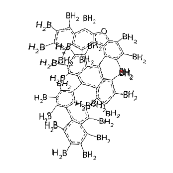 Bc1c(B)c(-c2c3c(B)c(B)c(B)c(B)c3c(-c3c(B)c(B)c(B)c4c3c(B)c(B)c3c(B)c(B)c(B)c(B)c34)c3c(B)c(B)c(B)c(B)c23)c2c(oc3c(B)c4c(B)c(B)c(B)c(B)c4c(B)c32)c1B